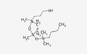 CCCC[Si](C)(C)O[Si](C)(C)O[Si](C)(C)CCCS